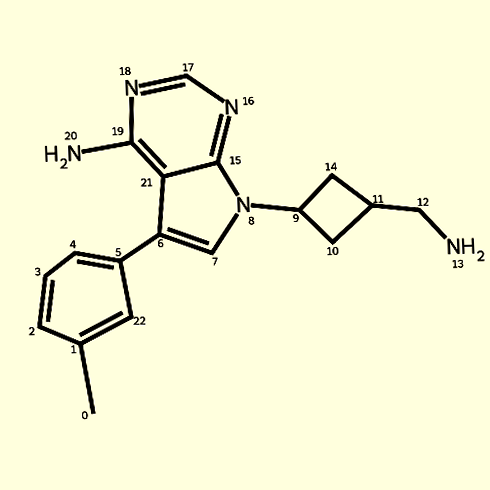 Cc1cccc(-c2cn(C3CC(CN)C3)c3ncnc(N)c23)c1